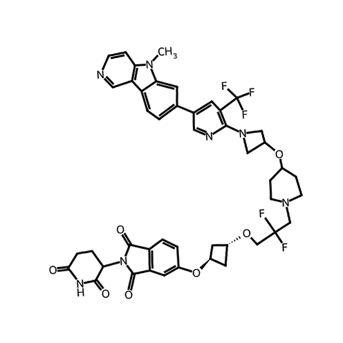 Cn1c2ccncc2c2ccc(-c3cnc(N4CC(OC5CCN(CC(F)(F)CO[C@H]6C[C@H](Oc7ccc8c(c7)C(=O)N(C7CCC(=O)NC7=O)C8=O)C6)CC5)C4)c(C(F)(F)F)c3)cc21